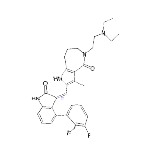 CCN(CC)CCN1CCCc2[nH]c(/C=C3\C(=O)Nc4cccc(-c5cccc(F)c5F)c43)c(C)c2C1=O